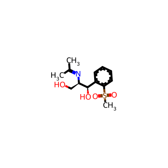 CC(C)=N[C@H](CO)[C@H](O)c1ccccc1S(C)(=O)=O